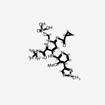 [2H]C([2H])([2H])NC(=O)c1nn(COP(=O)(O)O)/c(=N/C(=O)C2CC2)cc1Nc1nccc(-c2cnn(C)n2)c1OC